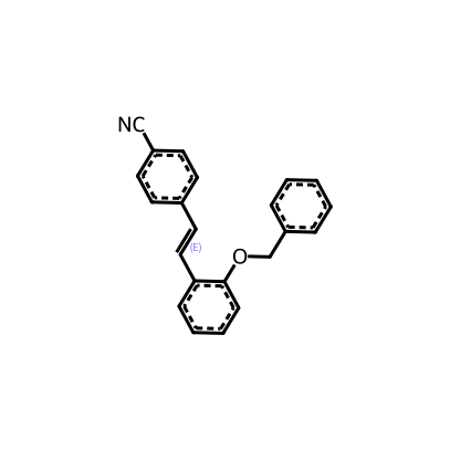 N#Cc1ccc(/C=C/c2ccccc2OCc2ccccc2)cc1